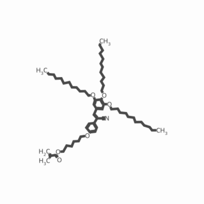 C=C(C)C(=O)OCCCCCCOc1ccc(/C(C#N)=C/c2cc(OCCCCCCCCCCCC)c(OCCCCCCCCCCCC)c(OCCCCCCCCCCCC)c2)cc1